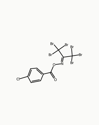 O=C(ON=C(C(Br)(Br)Br)C(Br)(Br)Br)c1ccc(Cl)cc1